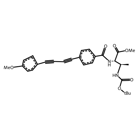 COC(=O)[C@@H](NC(=O)c1ccc(C#CC#Cc2ccc(OC)cc2)cc1)[C@@H](C)NC(=O)OC(C)(C)C